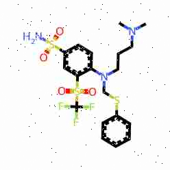 CN(C)CCCN(CSc1ccccc1)c1ccc(S(N)(=O)=O)cc1S(=O)(=O)C(F)(F)F